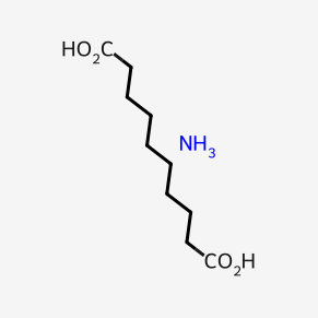 N.O=C(O)CCCCCCCCC(=O)O